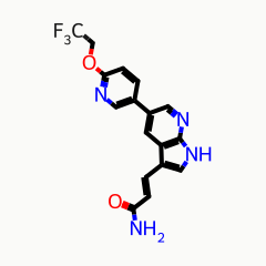 NC(=O)C=Cc1c[nH]c2ncc(-c3ccc(OCC(F)(F)F)nc3)cc12